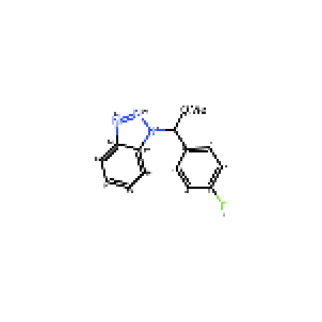 COC(c1ccc(F)cc1)n1nnc2ccccc21